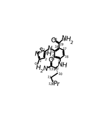 Cc1cc(Nc2cc(N[C@H](CCC(C)C)C(N)=O)ccc2C(N)=O)sn1